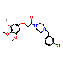 COc1cc(OCC(=O)N2CCN(Cc3cccc(Cl)c3)CC2)cc(OC)c1OC